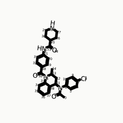 CC(=O)N(c1ccc(Cl)cc1)C1CC(C)N(C(=O)c2ccc(NC(=O)C3CCNCC3)cc2)c2ccccc21